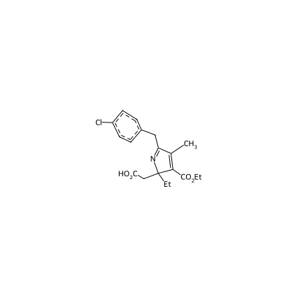 CCOC(=O)C1=C(C)C(Cc2ccc(Cl)cc2)=NC1(CC)CC(=O)O